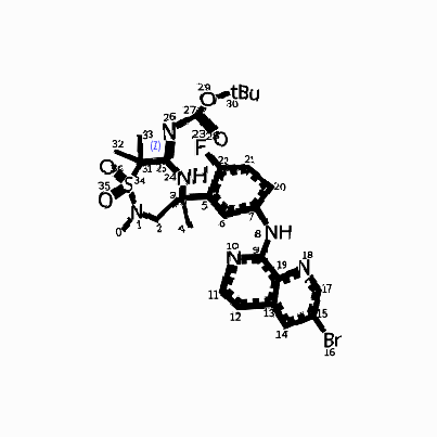 CN1C[C@@](C)(c2cc(Nc3nccc4cc(Br)cnc34)ccc2F)N/C(=N\C(=O)OC(C)(C)C)C(C)(C)S1(=O)=O